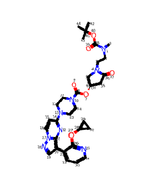 CN(CCN1C[C@@H](OC(=O)N2CCN(c3ccn4ncc(-c5cccnc5OC5CC5)c4n3)CC2)CC1=O)C(=O)OC(C)(C)C